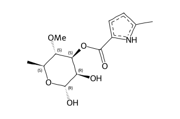 CO[C@@H]1[C@@H](OC(=O)c2ccc(C)[nH]2)[C@@H](O)[C@H](O)O[C@H]1C